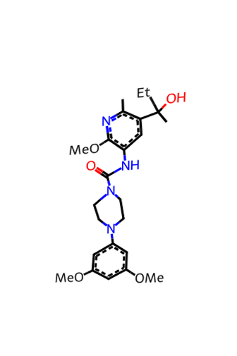 CCC(C)(O)c1cc(NC(=O)N2CCN(c3cc(OC)cc(OC)c3)CC2)c(OC)nc1C